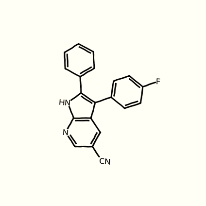 N#Cc1cnc2[nH]c(-c3ccccc3)c(-c3ccc(F)cc3)c2c1